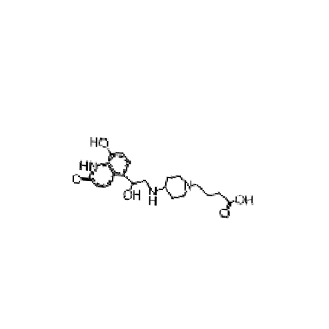 O=C(O)CCCN1CCC(NCC(O)c2ccc(O)c3[nH]c(=O)ccc23)CC1